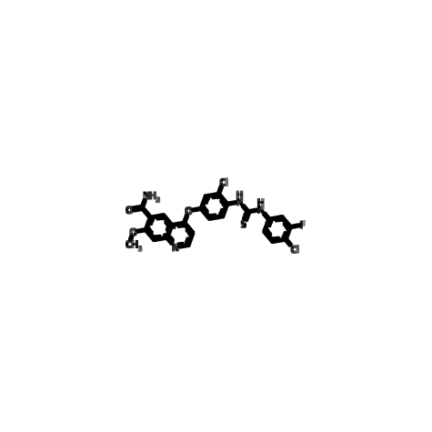 COc1cc2nccc(Oc3ccc(NC(=S)Nc4ccc(Cl)c(F)c4)c(Cl)c3)c2cc1C(N)=O